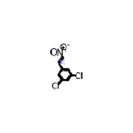 O=[N+]([O-])/C=C/c1cc(Cl)cc(Cl)c1